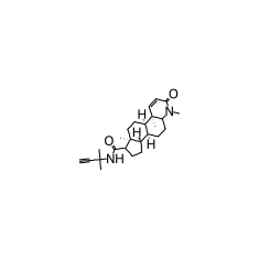 C#CC(C)(C)NC(=O)C1CC[C@H]2[C@@H]3CCC4N(C)C(=O)C=C[C@]4(C)[C@@H]3CC[C@]12C